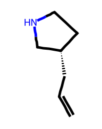 C=CC[C@H]1CCNC1